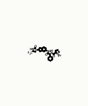 CC(C)n1nccc1C(=O)N[C@H](C(=O)Nc1ccc2c(c1)CC(N1C[C@@H](C(F)(F)F)NC1=O)C2)C1CCCCC1